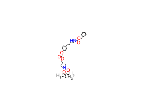 CC(C)(C)OC(=O)N1CCC(COC(=O)COc2ccc(CCCCNC(=O)OCc3ccccc3)cc2)CC1